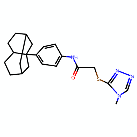 Cn1cnnc1SCC(=O)Nc1ccc(C23CC4CCC2CCC(C4)C3)cc1